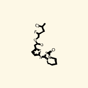 CC(Cl)CC(F)COC(=O)Cc1ccc(N=c2sc(=O)n3n2CCCC3)s1